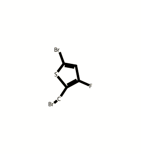 Fc1cc(Br)sc1CBr